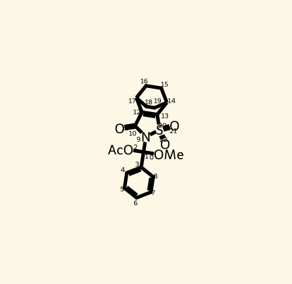 COC(OC(C)=O)(c1ccccc1)N1C(=O)C2=C(C3CCC2CC3)S1(=O)=O